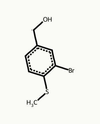 CSc1ccc([CH]O)cc1Br